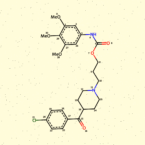 COc1cc(NC(=O)OCCCN2CCC(C(=O)c3ccc(Cl)cc3)CC2)cc(OC)c1OC